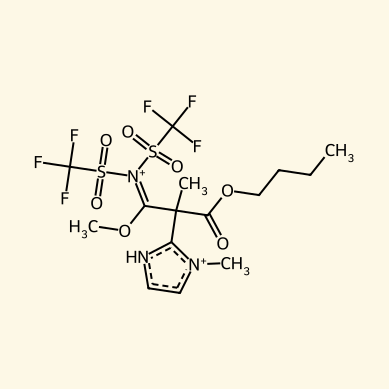 CCCCOC(=O)C(C)(C(OC)=[N+](S(=O)(=O)C(F)(F)F)S(=O)(=O)C(F)(F)F)c1[nH]cc[n+]1C